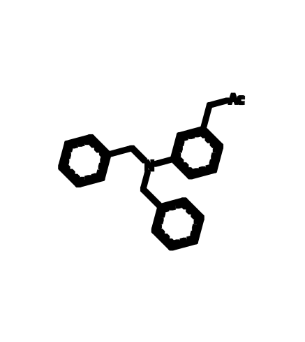 CC(=O)Cc1cccc(N(Cc2ccccc2)Cc2ccccc2)c1